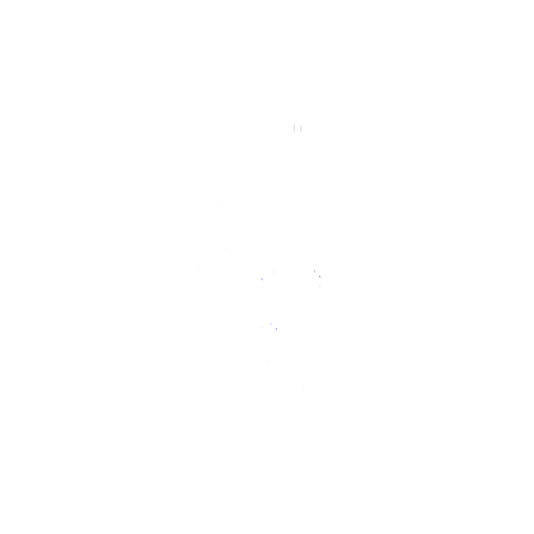 CCCCc1csc(NS(=O)(=O)[O-])n1.[Na+]